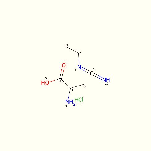 CC(N)C(=O)O.CCN=C=N.Cl